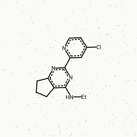 CCNc1nc(-c2cc(Cl)ccn2)nc2c1CCC2